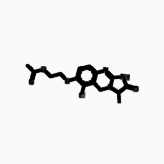 CC(=O)OCCOc1ccc2c(c1Cl)CN1C(=N2)NC(=O)C1C